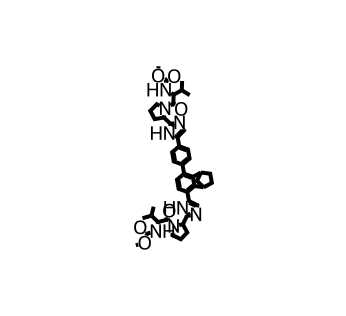 COC(=O)NC(C(=O)N1CCCC1c1ncc(-c2ccc(-c3ccc(-c4cnc(C5CCCN5C(=O)C(NC(=O)OC)C(C)C)[nH]4)c4c3C3CCC4C3)cc2)[nH]1)C(C)C